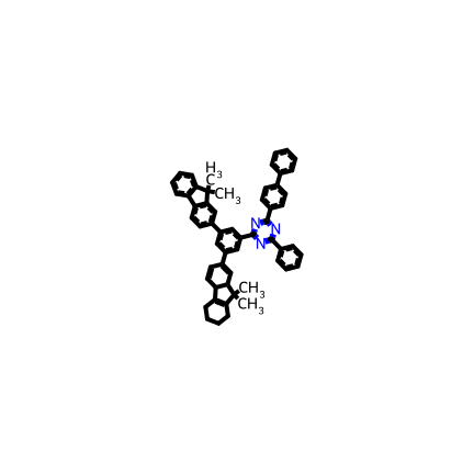 CC1(C)c2ccccc2-c2ccc(-c3cc(C4=CC5C(C=C4)C4=C(CCCC4)C5(C)C)cc(-c4nc(-c5ccccc5)nc(-c5ccc(-c6ccccc6)cc5)n4)c3)cc21